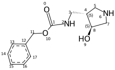 O=C(NC[C@@H]1CNC[C@H]1O)OCc1ccccc1